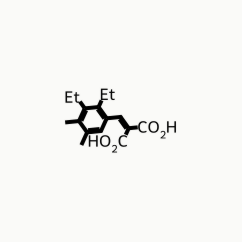 CCc1c(C=C(C(=O)O)C(=O)O)cc(C)c(C)c1CC